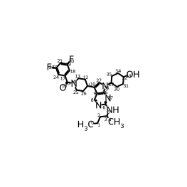 CCCC(C)Nc1ncc2c(C3CCN(C(=O)c4cc(F)cc(F)c4)CC3)cn(C3CCC(O)CC3)c2n1